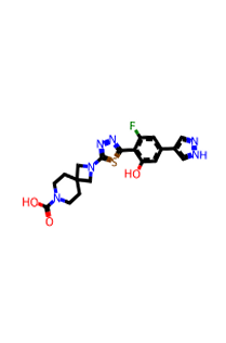 O=C(O)N1CCC2(CC1)CN(c1nnc(-c3c(O)cc(-c4cn[nH]c4)cc3F)s1)C2